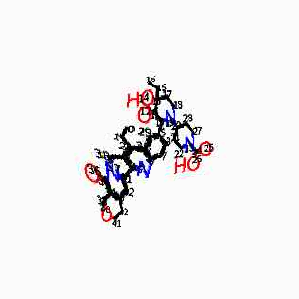 CCc1c2c(nc3ccc(C4C(=O)[C@](O)(CC)CCN4C4CCN(C(=O)O)CC4)cc13)-c1cc3c(c(=O)n1C2)COCC3